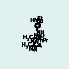 CCCn1c(=O)c(NCc2ccc(S(=N)(=O)CC)cc2)nc2c(C)nc(-c3c(C)ncnc3C3CC3)nc21